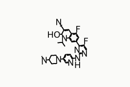 CC(C)N1c2cc(-c3nc(Nc4ccc(N5CCC(N(C)C)CC5)cn4)ncc3F)cc(F)c2C=C(C#N)C1O